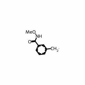 [CH2]c1cccc(C(=O)NOC)c1